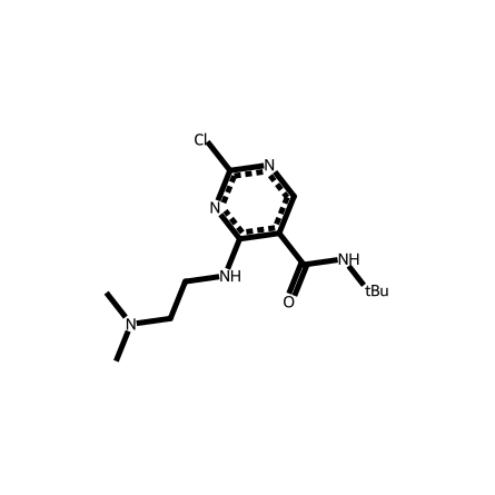 CN(C)CCNc1nc(Cl)ncc1C(=O)NC(C)(C)C